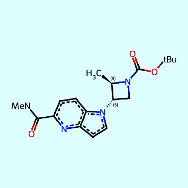 CNC(=O)c1ccc2c(ccn2[C@H]2CN(C(=O)OC(C)(C)C)[C@@H]2C)n1